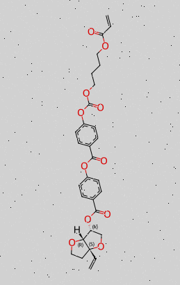 C=CC(=O)OCCCCOC(=O)Oc1ccc(C(=O)Oc2ccc(C(=O)O[C@@H]3CO[C@]4(C=C)CCO[C@H]34)cc2)cc1